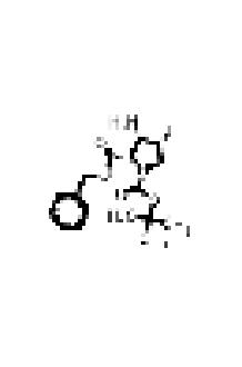 CC(C)(C)OC(=O)N1C[C@H](F)[C@@H](N)[C@H]1C(=O)OCc1ccccc1